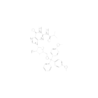 COc1ccc(C(OC[C@H]2[CH][C@@H](F)[C@H](n3cnc4c(=O)[nH]c(NC(=O)C(C)C)nc43)O2)(c2ccccc2)c2ccc(OC)cc2)cc1